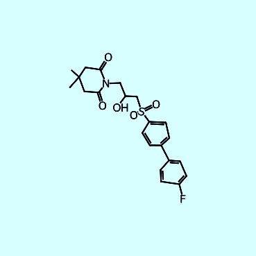 CC1(C)CC(=O)N(CC(O)CS(=O)(=O)c2ccc(-c3ccc(F)cc3)cc2)C(=O)C1